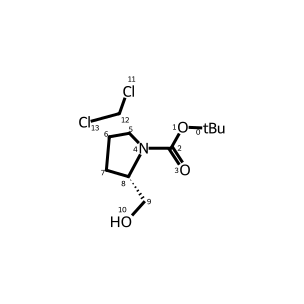 CC(C)(C)OC(=O)N1CCC[C@H]1CO.ClCCl